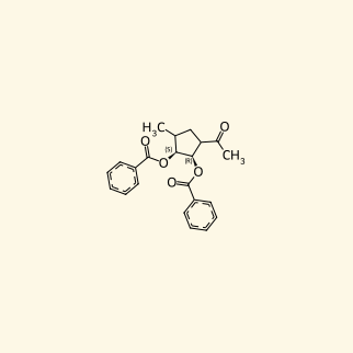 CC(=O)C1CC(C)[C@H](OC(=O)c2ccccc2)[C@@H]1OC(=O)c1ccccc1